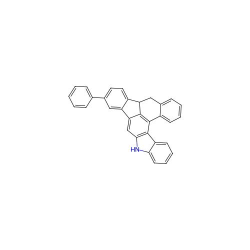 c1ccc(-c2ccc3c(c2)-c2cc4[nH]c5ccccc5c4c4c2C3Cc2ccccc2-4)cc1